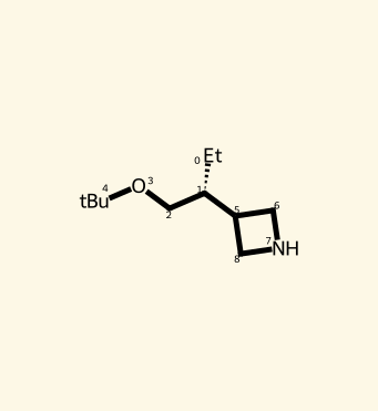 CC[C@@H](COC(C)(C)C)C1CNC1